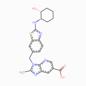 Cc1nc2cc(C(=O)O)cnc2n1Cc1ccc2nc(N[C@@H]3CCCC[C@H]3O)sc2c1